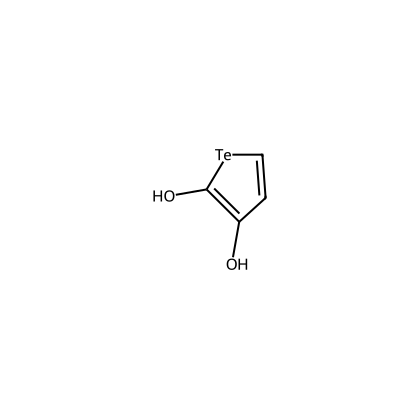 Oc1cc[te]c1O